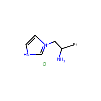 CCC(N)C[n+]1cc[nH]c1.[Cl-]